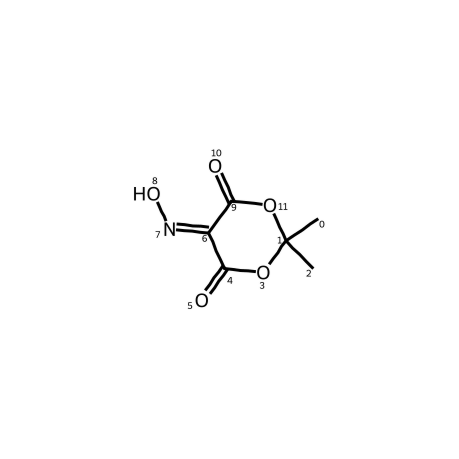 CC1(C)OC(=O)C(=NO)C(=O)O1